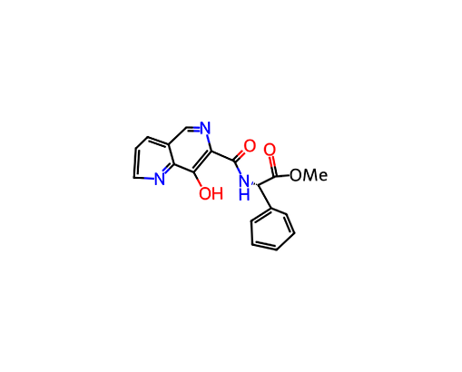 COC(=O)[C@@H](NC(=O)c1ncc2cccnc2c1O)c1ccccc1